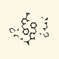 Cn1nc(CC(=O)N2C[C@H](F)C[C@H]2C(=O)N[C@@H](c2ccccc2)c2ccc(C3CC3NC(=O)NCC(=O)N3C[C@H](F)C[C@H]3C(=O)N[C@@H](c3ccccc3)c3ccc(C4CC4)c(F)n3)c(F)n2)[nH]c1=O